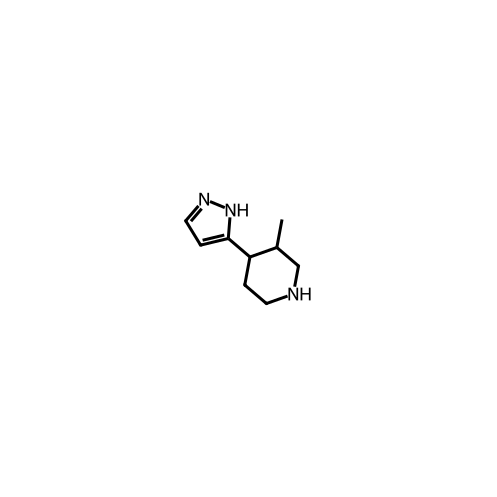 CC1CNCCC1c1ccn[nH]1